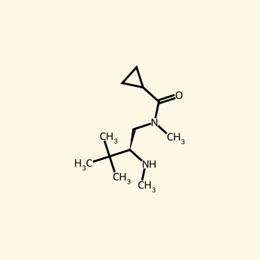 CN[C@H](CN(C)C(=O)C1CC1)C(C)(C)C